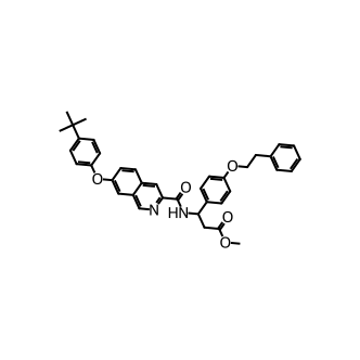 COC(=O)CC(NC(=O)c1cc2ccc(Oc3ccc(C(C)(C)C)cc3)cc2cn1)c1ccc(OCCc2ccccc2)cc1